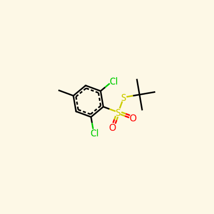 Cc1cc(Cl)c(S(=O)(=O)SC(C)(C)C)c(Cl)c1